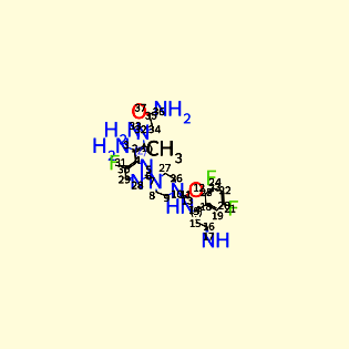 C/C(=C(/N)c1nc(N2CCN(C(=O)N[C@@H](CC=N)c3cc(F)cc(F)c3)CC2)ncc1F)N(N)CC(N)=O